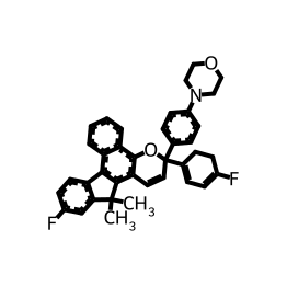 CC1(C)c2cc(F)ccc2-c2c1c1c(c3ccccc23)OC(C2=CC=C(F)CC2)(c2ccc(N3CCOCC3)cc2)C=C1